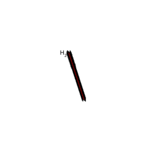 N#C/N=N/N=N/N=N/N=N/N=N/N=N/N=N/N=N/N=N/N=N/N=N/N=N/N=N/N=N/N=N/N=N/N=N/N=N/N=N/N=N/N=N/N=N/N=N/N=N/N=N/N=N/N=N/N=N/N=N/N=N/N=N/N=N/N=N/N=N/N=N/N=N/N=N/N=N/N=N/N=N/N=N/N=N/N=N/N=N/N=N/N=N/N=N/N=N/N=N/N=N/N=N/N=N/N=N/N=N/N=N/N=N/N=N/N=N/N=N/N=N/N=N/N=N/N=N/N=N/N=N/N=N/N=N/N=N/N=N/N=N/N=N/N=N/N